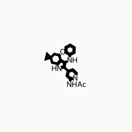 CC(=O)Nc1cc(-c2[nH]c3c(c2Nc2ccccc2)C(=O)CC2(CC2)C3)ccn1